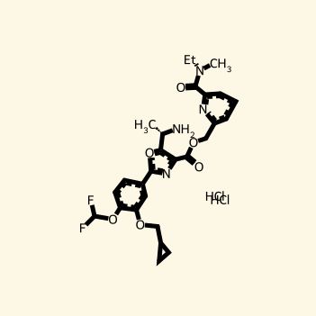 CCN(C)C(=O)c1cccc(COC(=O)c2nc(-c3ccc(OC(F)F)c(OCC4CC4)c3)oc2[C@H](C)N)n1.Cl.Cl